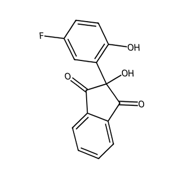 O=C1c2ccccc2C(=O)C1(O)c1cc(F)ccc1O